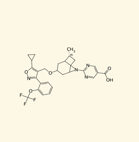 C[C@@H]1CC23C1CC(OCc1c(-c4ccccc4OC(F)(F)F)noc1C1CC1)CC2N3c1ncc(C(=O)O)cn1